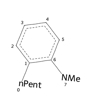 CCCCCc1ccccc1NC